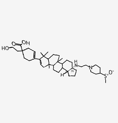 C[S+]([O-])C1CCN(CCN[C@]23CCC[C@@H]2C2CCC4C(C)(CCC5C(C)(C)C(C6=CCC(CCO)(C(=O)O)CC6)=CCC54C)C2CC3)CC1